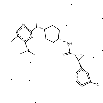 Cc1cnc(N[C@H]2CC[C@@H](NC(=O)[C@@H]3C[C@H]3c3cccc(Cl)c3)CC2)nc1N(C)C